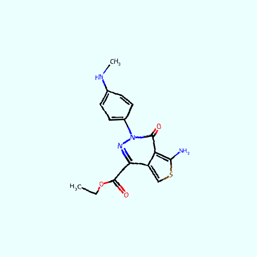 CCOC(=O)c1nn(-c2ccc(NC)cc2)c(=O)c2c(N)scc12